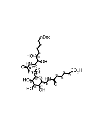 CCCCCCCCCCCCCC[C@@H](O)C(O)[C@H](COC1OC(CNC(=O)CCCCC(=O)O)C(O)C(O)C1O)NC(=O)CCCCCCC